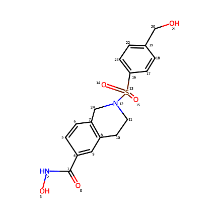 O=C(NO)c1ccc2c(c1)CCN(S(=O)(=O)c1ccc(CO)cc1)C2